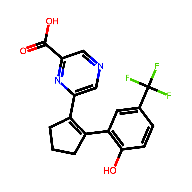 O=C(O)c1cncc(C2=C(c3cc(C(F)(F)F)ccc3O)CCC2)n1